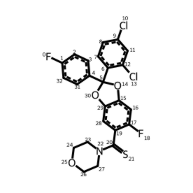 Fc1ccc(C2(c3ccc(Cl)cc3Cl)Oc3cc(F)c(C(=S)N4CCOCC4)cc3O2)cc1